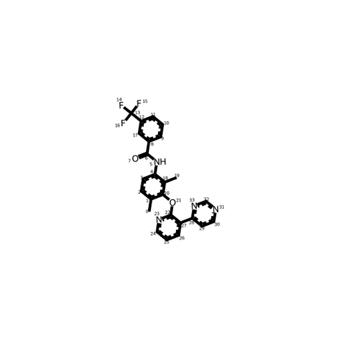 Cc1ccc(NC(=O)c2cccc(C(F)(F)F)c2)c(C)c1Oc1ncccc1-c1ccncn1